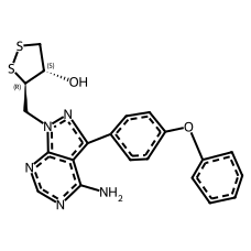 Nc1ncnc2c1c(-c1ccc(Oc3ccccc3)cc1)nn2C[C@H]1SSC[C@@H]1O